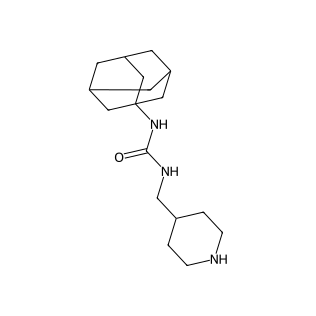 O=C(NCC1CCNCC1)NC12CC3CC(CC(C3)C1)C2